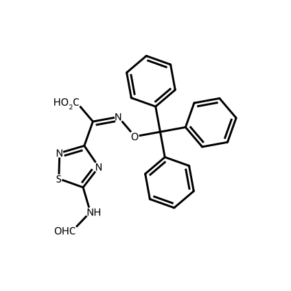 O=CNc1nc(C(=NOC(c2ccccc2)(c2ccccc2)c2ccccc2)C(=O)O)ns1